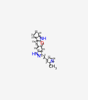 Cc1cc(/C=C/c2n[nH]c3cc(C4CC45C(=O)Nc4ccccc45)ccc23)ccn1